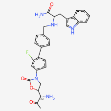 CC(=O)[C@@H](N)C1CN(c2ccc(-c3ccc(CNC(Cc4c[nH]c5ccccc45)C(N)=O)cc3)c(F)c2)C(=O)O1